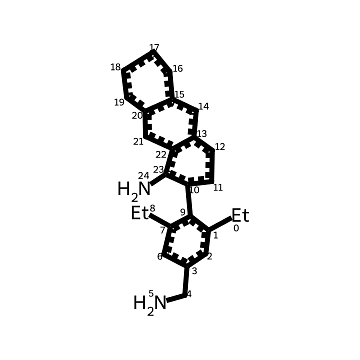 CCc1cc(CN)cc(CC)c1-c1ccc2cc3ccccc3cc2c1N